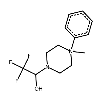 C[N+]1(c2ccccc2)CCN(C(O)C(F)(F)F)CC1